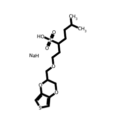 CC(C)CCC(CCOCC1COc2cscc2O1)S(=O)(=O)O.[NaH]